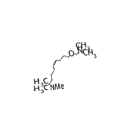 CNC(C)(C)CCC/C=C\CCCOCN(C)C